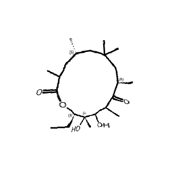 CC[C@H]1OC(=O)C(C)C[C@H](C)CC(C)(C)C[C@@H](C)C(=O)C(C)C(O)[C@]1(C)O